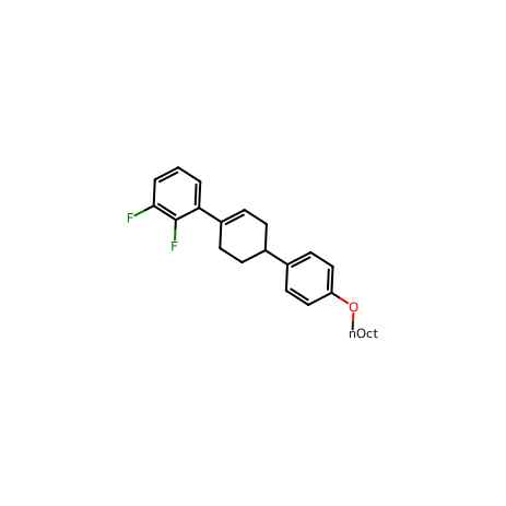 CCCCCCCCOc1ccc(C2CC=C(c3cccc(F)c3F)CC2)cc1